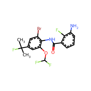 CC(C)(F)c1cc(Br)c(NC(=O)c2cccc(N)c2F)c(OC(F)F)c1